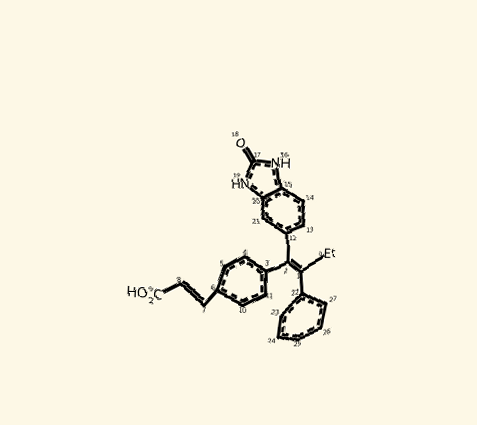 CC/C(=C(/c1ccc(/C=C/C(=O)O)cc1)c1ccc2[nH]c(=O)[nH]c2c1)c1ccccc1